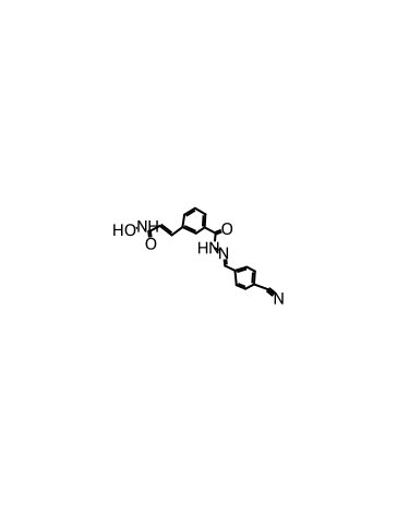 N#Cc1ccc(/C=N/NC(=O)c2cccc(/C=C/C(=O)NO)c2)cc1